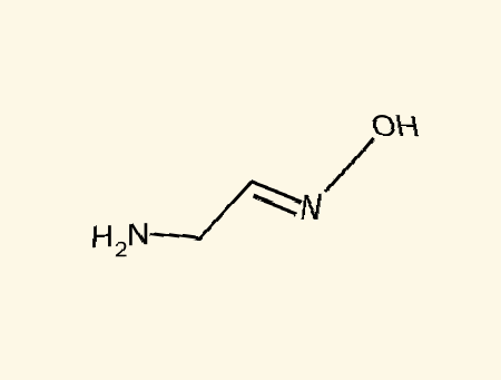 NC/C=N/O